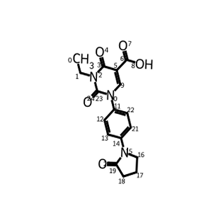 CCn1c(=O)c(C(=O)O)cn(-c2ccc(N3CCCC3=O)cc2)c1=O